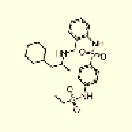 CCS(=O)(=O)Nc1ccc(S(=O)(=O)Nc2ccccc2CN[C@@H](C)CC2CCCCC2)cc1